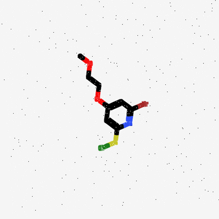 COCCOc1cc(Br)nc(SCl)c1